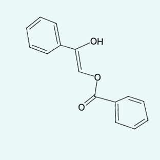 O=C(OC=C(O)c1ccccc1)c1ccccc1